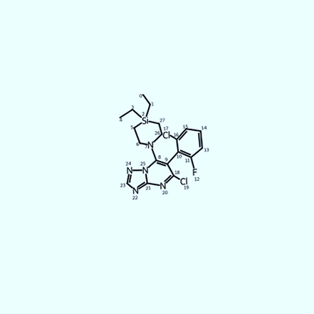 CC[Si]1(CC)CCN(c2c(-c3c(F)cccc3Cl)c(Cl)nc3ncnn23)CC1